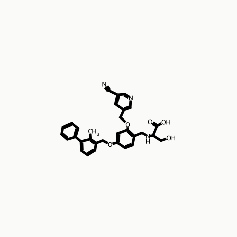 Cc1c(COc2ccc(CNC(CO)C(=O)O)c(OCc3cncc(C#N)c3)c2)cccc1-c1ccccc1